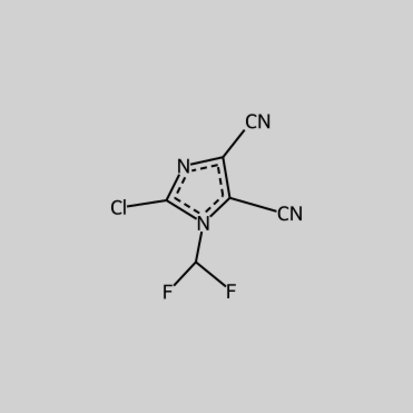 N#Cc1nc(Cl)n(C(F)F)c1C#N